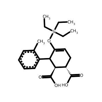 CC[Si](CC)(CC)OC1=CC[C@H](C(=O)O)[C@@H](C(=O)O)C1c1ccccc1C